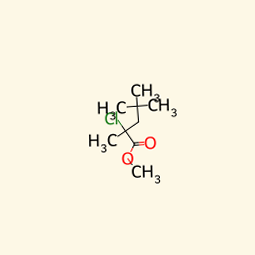 COC(=O)C(C)(Cl)CC(C)(C)C